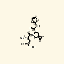 CCCC[C@H](CN(O)C=O)C(=O)N1CC2(CC2)C[C@H]1C(=O)Nc1ncco1